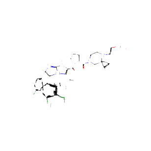 CC(C)C1=C(C(=O)N2[C@H](C)CC[C@H]2C(=O)N2CCN(CCO)C3(CC3)C2)SC2=N[C@@](C)(c3ccc(Cl)cc3)[C@@H](c3ccc(Cl)c(F)c3)N21